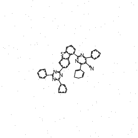 N#Cc1c(C2=CCCC=C2)nc(-c2cccc3sc4cc(-c5nc(-c6ccccc6)nc(-c6ccccc6)n5)ccc4c23)nc1-c1ccccc1